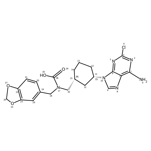 Nc1nc(Cl)nc2c1ncn2[C@H]1CCC[C@@H](CN(Cc2ccc3c(c2)OCO3)C(=O)O)C1